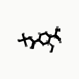 CC[C@@H]1CN(C(=O)OC(C)(C)C)CCC1C(=O)O